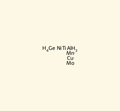 [AlH3].[Cu].[GeH4].[Mn].[Mo].[Ni].[Ti]